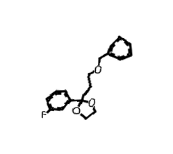 Fc1cccc(C2(CCCOCc3ccccc3)OCCO2)c1